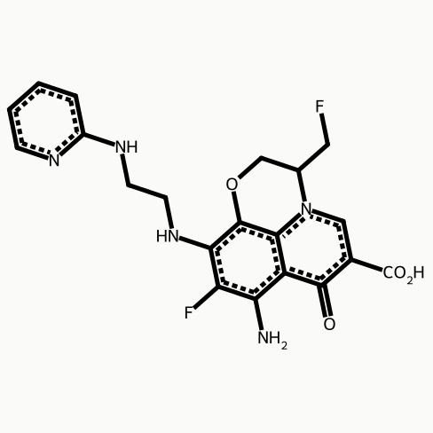 Nc1c(F)c(NCCNc2ccccn2)c2c3c1c(=O)c(C(=O)O)cn3C(CF)CO2